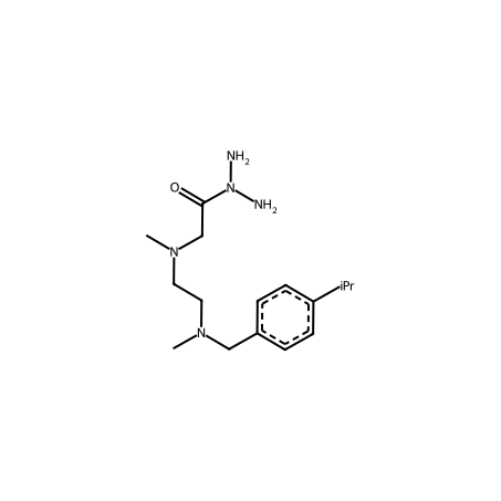 CC(C)c1ccc(CN(C)CCN(C)CC(=O)N(N)N)cc1